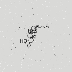 CC(C)CCC[C@@H](C)[C@H]1CC[C@H]2[C@@H]3CCC4C(O)C(=O)CC[C@]4(C)[C@H]3CC[C@]12C